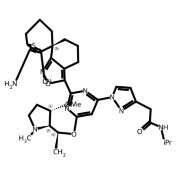 CO[C@H]1CCN(C)[C@@H]1[C@H](C)Oc1cc(-n2ccc(CC(=O)NC(C)C)n2)nc(-c2onc3c2CCC[C@@]32CCCc3sc(N)c(C#N)c32)n1